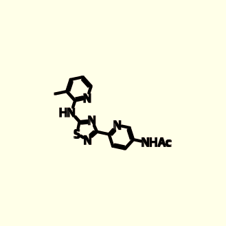 CC(=O)Nc1ccc(-c2nsc(Nc3ncccc3C)n2)nc1